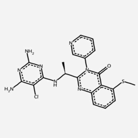 CSc1cccc2nc([C@H](C)Nc3nc(N)nc(N)c3Cl)n(-c3cccnc3)c(=O)c12